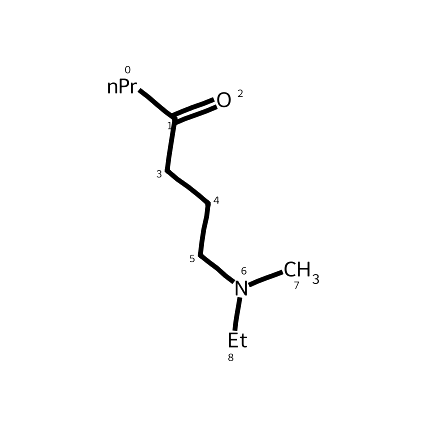 CCCC(=O)CCCN(C)CC